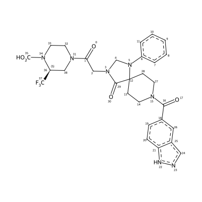 O=C(CN1CN(c2ccccc2)C2(CCN(C(=O)c3ccc4[nH]ncc4c3)CC2)C1=O)N1CCN(C(=O)O)[C@H](C(F)(F)F)C1